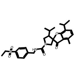 CCS(=O)(=O)c1ccc(CNC(=O)N2CC(C(C)C)C3(C2)Oc2c(C(C)C)ccc(C)c2C3=O)cc1